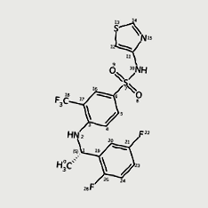 C[C@H](Nc1ccc(S(=O)(=O)Nc2cscn2)cc1C(F)(F)F)c1cc(F)ccc1F